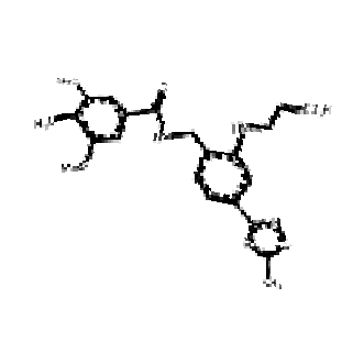 COc1cc(C(=O)NCc2ccc(-c3noc(C)n3)cc2NCCC(=O)O)cc(OC)c1C